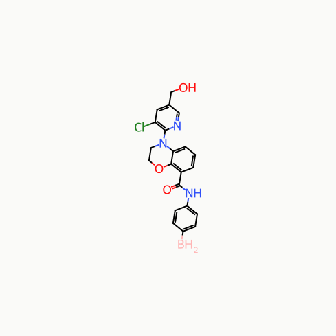 Bc1ccc(NC(=O)c2cccc3c2OCCN3c2ncc(CO)cc2Cl)cc1